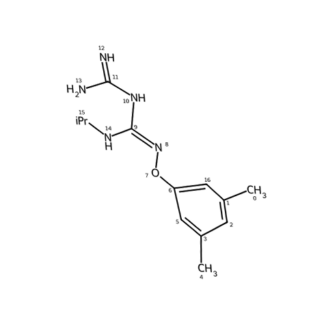 Cc1cc(C)cc(ON=C(NC(=N)N)NC(C)C)c1